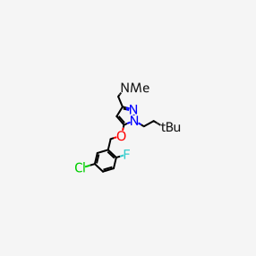 CNCc1cc(OCc2cc(Cl)ccc2F)n(CCC(C)(C)C)n1